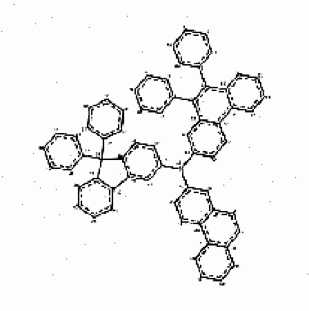 c1ccc(-c2c(-c3ccccc3)c3cc(N(c4ccc5c(c4)-c4ccccc4C5(c4ccccc4)c4ccccc4)c4ccc5c(ccc6ccccc65)c4)ccc3c3ccccc23)cc1